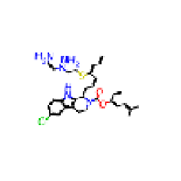 C=C/C=C(\C=C/CC1c2[nH]c3ccc(Cl)cc3c2CCN1C(=O)O/C(C=C)=C/C=C(C)C)SCCN(N)/C=C\N